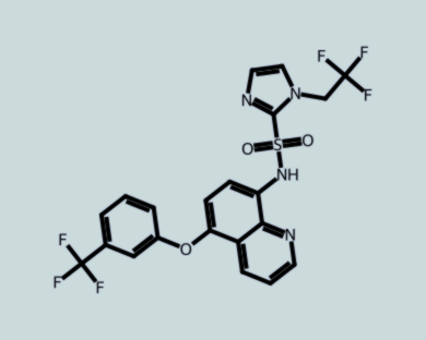 O=S(=O)(Nc1ccc(Oc2cccc(C(F)(F)F)c2)c2cccnc12)c1nccn1CC(F)(F)F